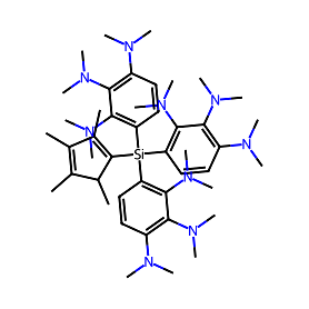 CC1=C(C)C(C)C([Si](c2ccc(N(C)C)c(N(C)C)c2N(C)C)(c2ccc(N(C)C)c(N(C)C)c2N(C)C)c2ccc(N(C)C)c(N(C)C)c2N(C)C)=C1C